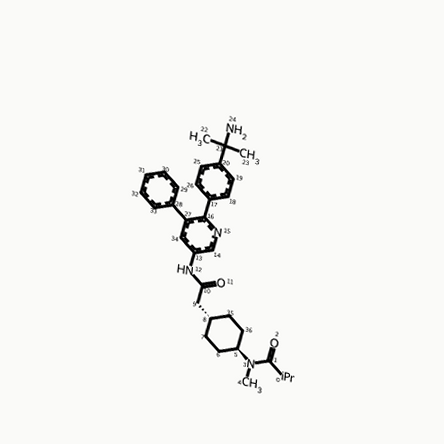 CC(C)C(=O)N(C)[C@H]1CC[C@H](CC(=O)Nc2cnc(-c3ccc(C(C)(C)N)cc3)c(-c3ccccc3)c2)CC1